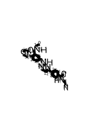 CCNC(=O)c1cc(Nc2nccc(-c3ccc(C(=O)NCC#N)cc3)n2)ccc1N1CCOCC1